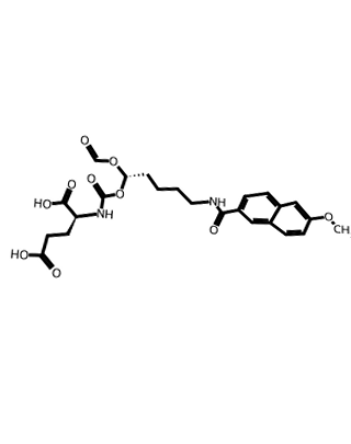 COc1ccc2cc(C(=O)NCCCC[C@@H](OC=O)OC(=O)N[C@@H](CCC(=O)O)C(=O)O)ccc2c1